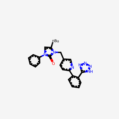 CCCCc1cn(-c2ccccc2)c(=O)n1Cc1ccc(-c2ccccc2-c2nnn[nH]2)nc1